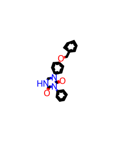 O=C1NCN(c2ccc(OCc3ccccc3)cc2)C(=O)N1c1ccccc1